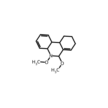 COC1C2=CCCCC2C2C=CC=CC2N1OC